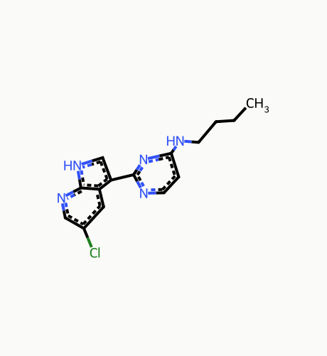 CCCCNc1ccnc(-c2c[nH]c3ncc(Cl)cc23)n1